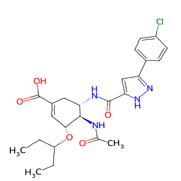 CCC(CC)O[C@@H]1C=C(C(=O)O)C[C@H](NC(=O)c2cc(-c3ccc(Cl)cc3)n[nH]2)[C@H]1NC(C)=O